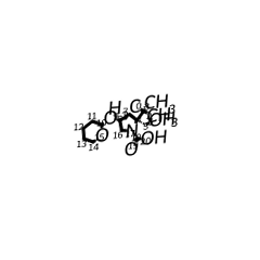 CC(C)(C)[C@]1(CO)C[C@H](OC2CCCCO2)CN1C(=O)O